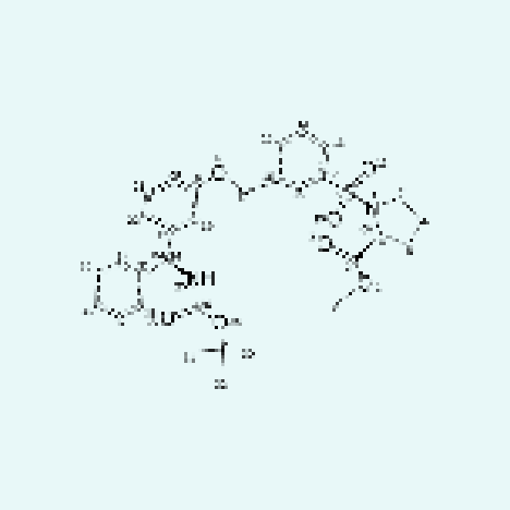 COC(=O)[C@@H]1CCCN1S(=O)(=O)c1cccc(COc2cccc([C@@H](NC(=O)OC(C)(C)C)c3ccccc3)c2)c1